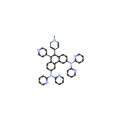 CN1C=CC(c2c(-c3ccncc3)c3ccc(N(c4ccccn4)c4ccccn4)cc3c3cc(N(c4ccccn4)c4ccccn4)ccc23)=CC1